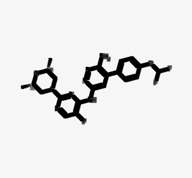 C[C@@H]1CN(c2ncc(F)c(Nc3cc(-c4ccc(OC(F)F)cc4)c(N)nn3)n2)C[C@H](C)O1